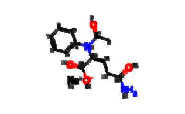 CC(=O)N(c1ccccc1)[C@@H](CCC(N)=O)C(=O)[O-].[Na+]